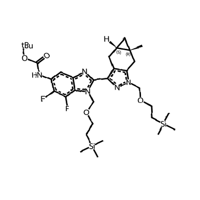 CC(C)(C)OC(=O)Nc1cc2nc(-c3nn(COCC[Si](C)(C)C)c4c3C[C@@H]3C[C@]3(C)C4)n(COCC[Si](C)(C)C)c2c(F)c1F